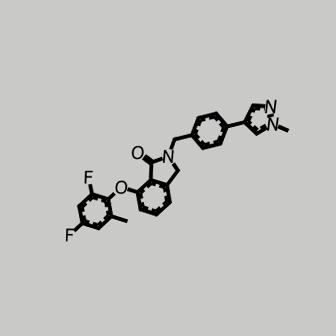 Cc1cc(F)cc(F)c1Oc1cccc2c1C(=O)N(Cc1ccc(-c3cnn(C)c3)cc1)C2